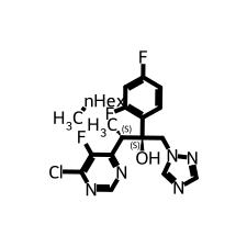 CCCCCCC.C[C@@H](c1ncnc(Cl)c1F)[C@@](O)(Cn1cncn1)c1ccc(F)cc1F